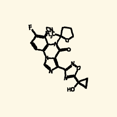 CC1(n2c(=O)c3c(-c4noc(C5(O)CC5)n4)ncn3c3ccc(F)c(C#N)c32)CCCO1